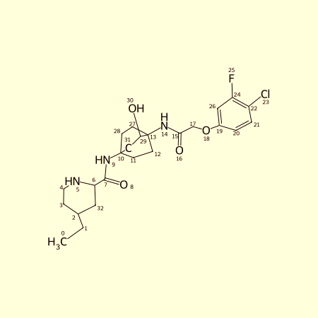 CCC1CCNC(C(=O)NC23CCC(NC(=O)COc4ccc(Cl)c(F)c4)(CC2)C(O)C3)C1